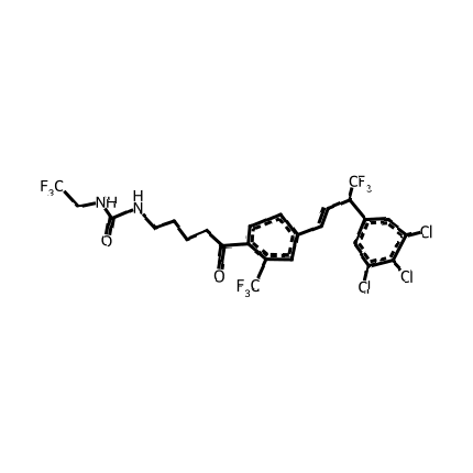 O=C(NCCCCC(=O)c1ccc(/C=C/C(c2cc(Cl)c(Cl)c(Cl)c2)C(F)(F)F)cc1C(F)(F)F)NCC(F)(F)F